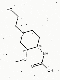 CO[C@@H]1CN(CCO)CC[C@@H]1NC(=O)O